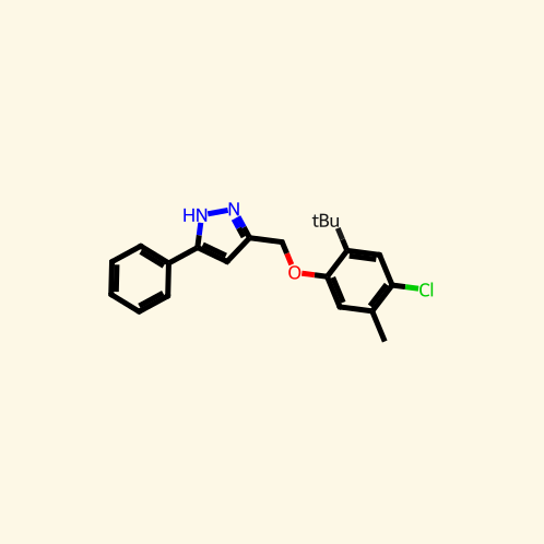 Cc1cc(OCc2cc(-c3ccccc3)[nH]n2)c(C(C)(C)C)cc1Cl